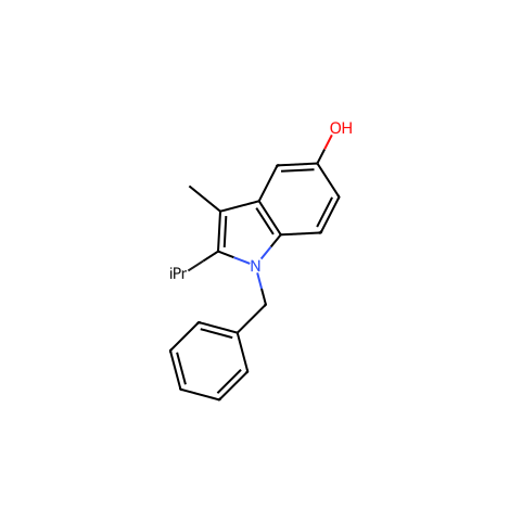 Cc1c(C(C)C)n(Cc2ccccc2)c2ccc(O)cc12